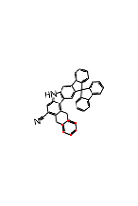 N#Cc1cc2[nH]c3cc4c(cc3c2c2c1C1c3ccccc3C2c2ccccc21)C1(c2ccccc2-c2ccccc21)c1ccccc1-4